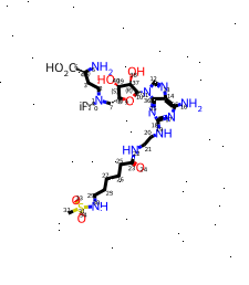 CC(C)N(CC[C@H](N)C(=O)O)C[C@H]1O[C@@H](n2cnc3c(N)nc(NCCNC(=O)CCCCCNS(C)(=O)=O)nc32)[C@H](O)[C@@H]1O